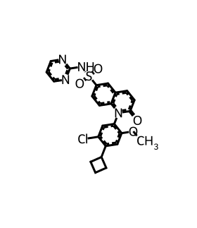 COc1cc(C2CCC2)c(Cl)cc1-n1c(=O)ccc2cc(S(=O)(=O)Nc3ncccn3)ccc21